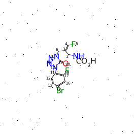 O=C(O)NC/C(=C\F)Cn1nnn(-c2ccc(Br)cc2F)c1=O